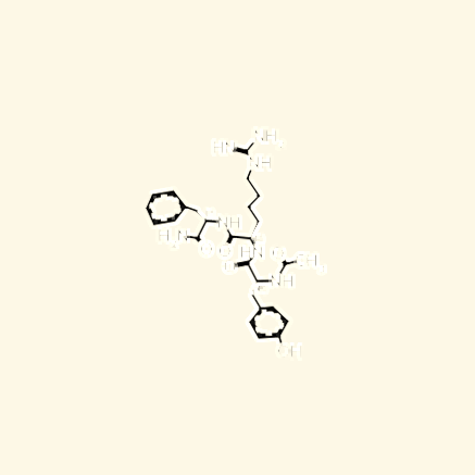 CC(=O)N[C@H](Cc1ccc(O)cc1)C(=O)N[C@H](CCCCNC(=N)N)C(=O)N[C@H](Cc1ccccc1)C(N)=O